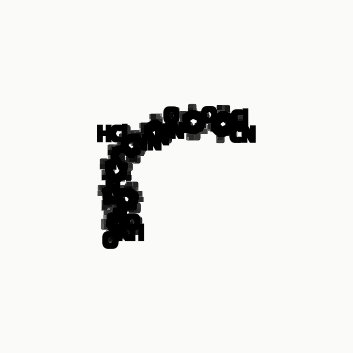 Cl.N#Cc1ccc(OC2CCC(NC(=O)c3ccc(N4CCC(CN5CCC(n6ccc7c(-n8ccc(=O)[nH]c8=O)cccc76)CC5)CC4)nn3)CC2)cc1Cl